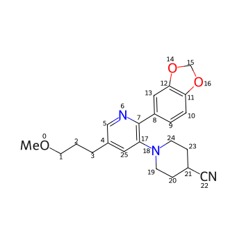 COCCCc1cnc(-c2ccc3c(c2)OCO3)c(N2CCC(C#N)CC2)c1